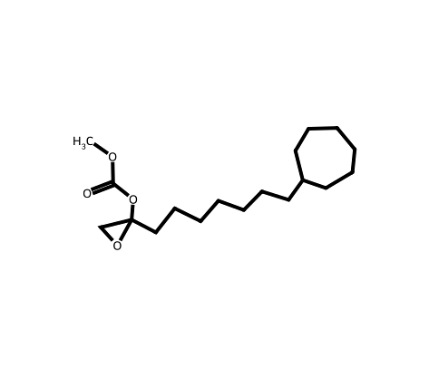 COC(=O)OC1(CCCCCCCC2CCCCCC2)CO1